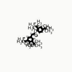 CC(C)(C)c1ccc(OC(=O)Cc2cc(C(C)(C)C)c(O)c(C(C)(C)C)c2)c(C(C)(C)C)c1